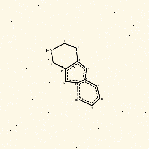 [CH]1NCCc2cc3ccccc3cc21